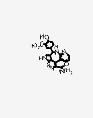 NC(=O)c1nnc2[nH]cc3c2c1-c1cccnc1NC3c1ccc(O)c(C(=O)O)c1